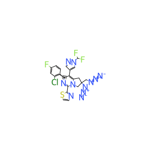 [N-]=[N+]=NCC1(N=[N+]=[N-])CC2=C(c3cnn(C(F)F)c3)[C@H](c3ccc(F)cc3Cl)N=C(c3nccs3)N2C1